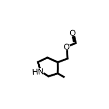 CC1CNCCC1COC=O